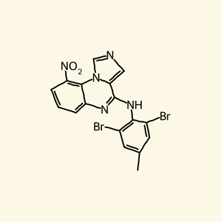 Cc1cc(Br)c(Nc2nc3cccc([N+](=O)[O-])c3n3cncc23)c(Br)c1